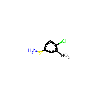 NSc1ccc(Cl)c([N+](=O)[O-])c1